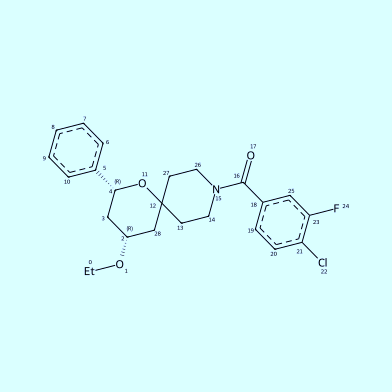 CCO[C@@H]1C[C@H](c2ccccc2)OC2(CCN(C(=O)c3ccc(Cl)c(F)c3)CC2)C1